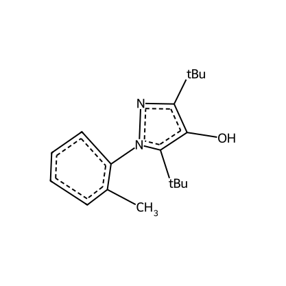 Cc1ccccc1-n1nc(C(C)(C)C)c(O)c1C(C)(C)C